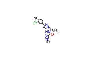 CC(Cn1ccc(-c2ccc(C#N)c(Cl)c2)n1)NC(=O)c1cn(C(C)C)cn1